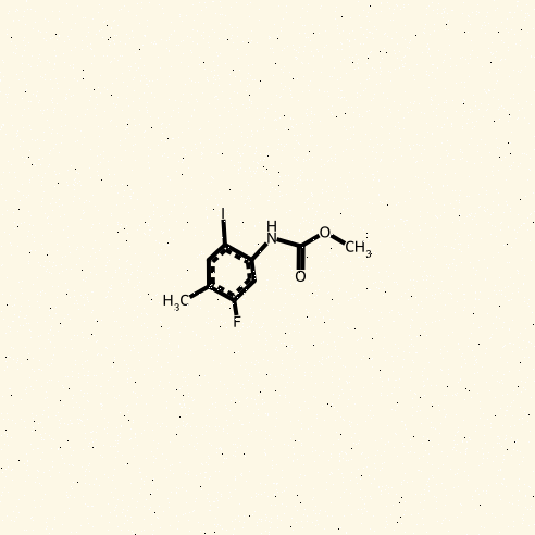 COC(=O)Nc1cc(F)c(C)cc1I